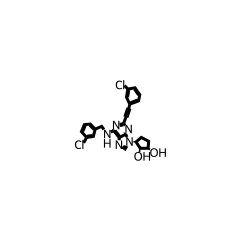 O[C@@H]1[C@H](O)CC[C@H]1n1cnc2c(NCc3cccc(Cl)c3)nc(C#Cc3cccc(Cl)c3)nc21